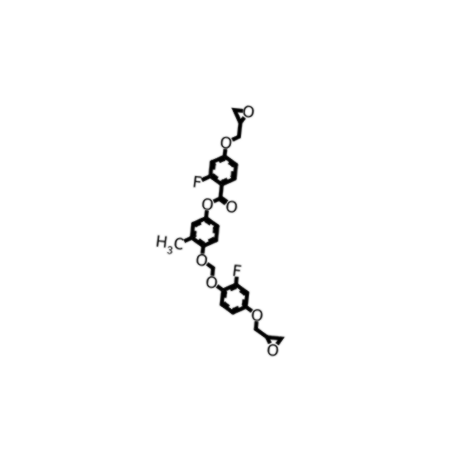 Cc1cc(OC(=O)c2ccc(OCC3CO3)cc2F)ccc1OCOc1ccc(OCC2CO2)cc1F